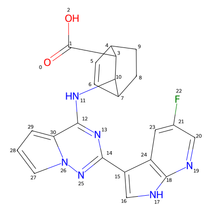 O=C(O)C1C2C=CC(CC2)C1Nc1nc(-c2c[nH]c3ncc(F)cc23)nn2cccc12